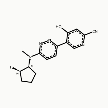 CN(c1ccc(-c2cnc(C#N)cc2O)nn1)[C@H]1CCC[C@H]1F